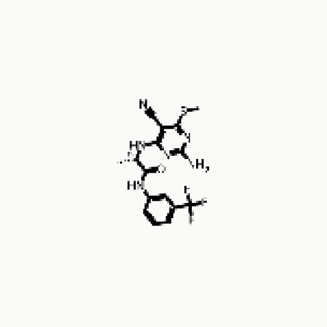 [CH2][C@H](Nc1nc(N)nc(SC)c1C#N)C(=O)Nc1cccc(C(F)(F)F)c1